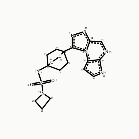 O=S(=O)(NC12CCC(c3nnc4cnc5[nH]ccc5n34)(CC1)CC2)N1CCC1